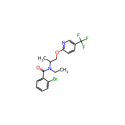 CCN(C(=O)c1ccccc1Br)C(C)COc1ccc(C(F)(F)F)cn1